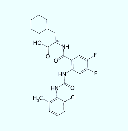 Cc1cccc(Cl)c1NC(=O)Nc1cc(F)c(F)cc1C(=O)N[C@@H](CC1CCCCC1)C(=O)O